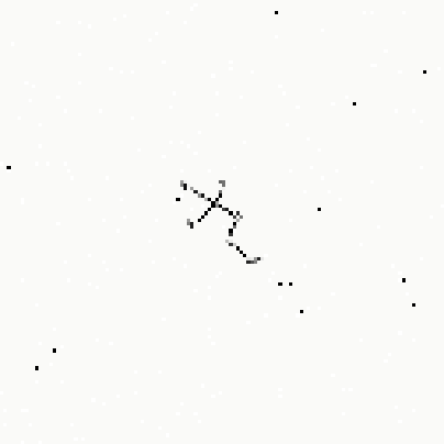 [2H]C([2H])([2H])OCCCC